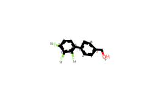 OCc1ccc(-c2ccc(F)c(F)c2F)cc1